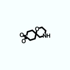 O=S1(=O)CCC2(CC1)CNCCO2